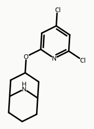 Clc1cc(Cl)nc(OC2CC3CCCC(C2)N3)c1